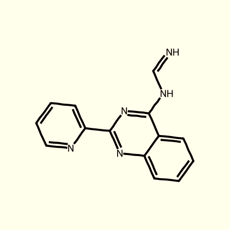 N=CNc1nc(-c2ccccn2)nc2ccccc12